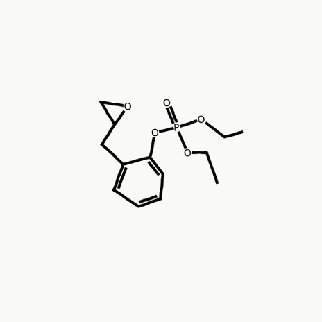 CCOP(=O)(OCC)Oc1ccccc1CC1CO1